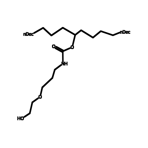 CCCCCCCCCCCCCCC(CCCCCCCCCCCCC)OC(=O)NCCCOCCO